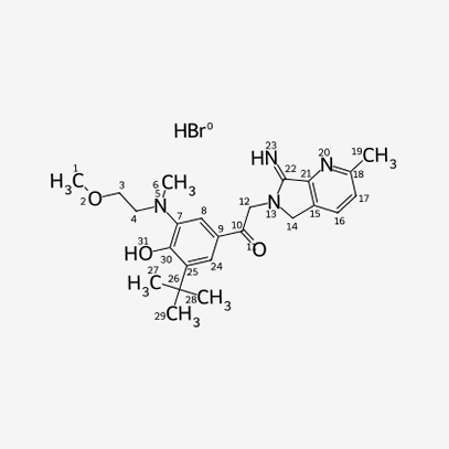 Br.COCCN(C)c1cc(C(=O)CN2Cc3ccc(C)nc3C2=N)cc(C(C)(C)C)c1O